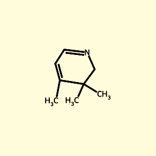 CC1=CC=NCC1(C)C